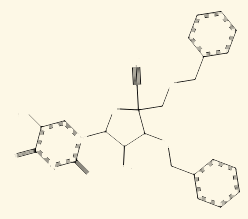 C#CC1(COCc2ccccc2)OC(n2cc(C)c(=O)[nH]c2=O)C(OC(C)=O)C1OCc1ccccc1